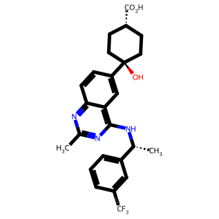 Cc1nc(N[C@H](C)c2cccc(C(F)(F)F)c2)c2cc([C@]3(O)CC[C@H](C(=O)O)CC3)ccc2n1